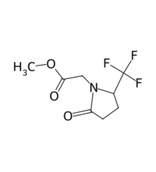 COC(=O)CN1C(=O)CCC1C(F)(F)F